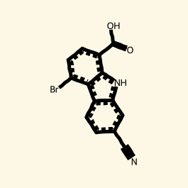 N#Cc1ccc2c(c1)[nH]c1c(C(=O)O)ccc(Br)c12